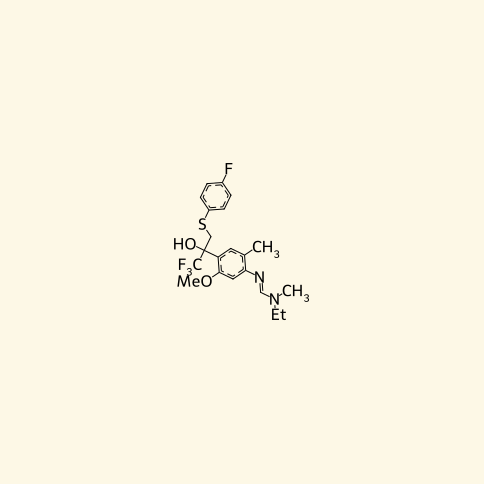 CCN(C)C=Nc1cc(OC)c(C(O)(CSc2ccc(F)cc2)C(F)(F)F)cc1C